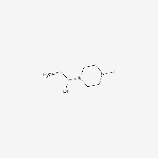 C=CC(O)N1CCN(I)CC1